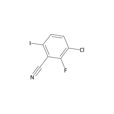 N#Cc1c(I)ccc(Cl)c1F